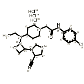 CCN(C1CCN(CC(=O)Nc2ccc(Cl)cn2)CC1)N1OCC1N1CSCC1C#N.Cl.Cl.Cl